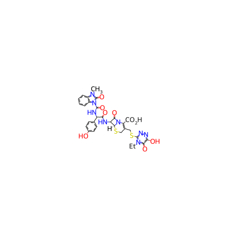 CCn1c(SCC2=C(C(=O)O)N3C(=O)C(NC(=O)C(NC(=O)n4c(=O)n(C)c5ccccc54)c4ccc(O)cc4)[C@@H]3SC2)nnc(O)c1=O